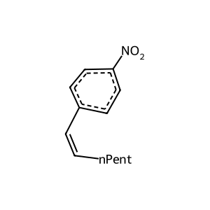 CCCCC/C=C\c1ccc([N+](=O)[O-])cc1